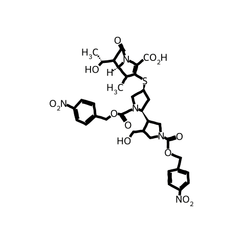 CC1C(S[C@H]2C[C@@H](C3CN(C(=O)OCc4ccc([N+](=O)[O-])cc4)CC3CO)N(C(=O)OCc3ccc([N+](=O)[O-])cc3)C2)=C(C(=O)O)N2C(=O)C([C@@H](C)O)[C@H]12